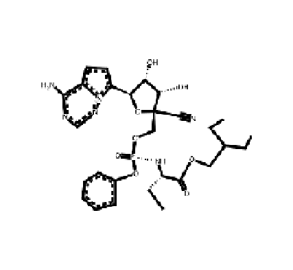 CCC(CC)COC(=O)[C@H](CC)N[P@](=O)(OC[C@@]1(C#N)O[C@@H](c2ccc3c(N)ncnn23)[C@H](O)[C@@H]1O)Oc1ccccc1